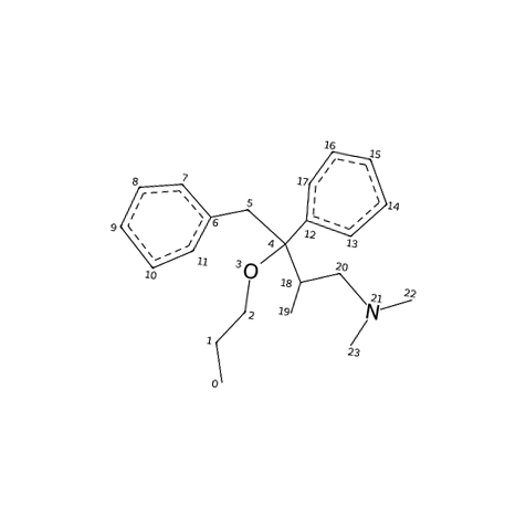 CCCOC(Cc1ccccc1)(c1ccccc1)C(C)CN(C)C